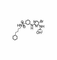 CC[C@H](CO)Nc1nc(Nc2cccc(S(=O)(=O)NCCCCc3ccccc3)c2)ncc1Br